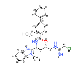 Cn1c([C@H](CCCNC(=N)CCl)NC(=O)c2ccc(-c3ccccc3)cc2C(=O)O)nc2ccccc21